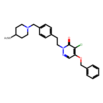 CC(=O)NC1CCN(Cc2ccc(CCn3ncc(OCc4ccccc4)c(Cl)c3=O)cc2)CC1